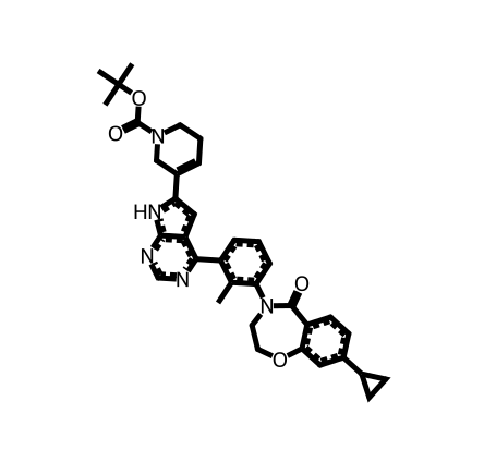 Cc1c(-c2ncnc3[nH]c(C4=CCCN(C(=O)OC(C)(C)C)C4)cc23)cccc1N1CCOc2cc(C3CC3)ccc2C1=O